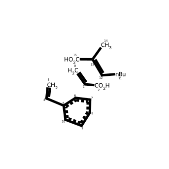 C=CC(=O)O.C=Cc1ccccc1.CCCCC=C(C)C(=O)O